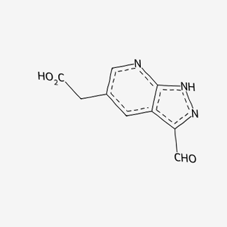 O=Cc1n[nH]c2ncc(CC(=O)O)cc12